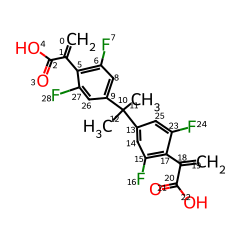 C=C(C(=O)O)c1c(F)cc(C(C)(C)c2cc(F)c(C(=C)C(=O)O)c(F)c2)cc1F